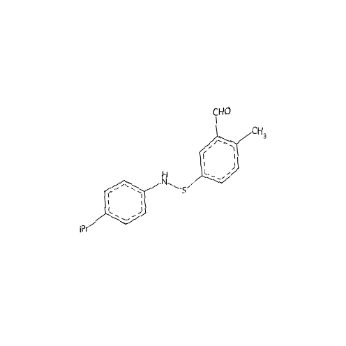 Cc1ccc(SNc2ccc(C(C)C)cc2)cc1C=O